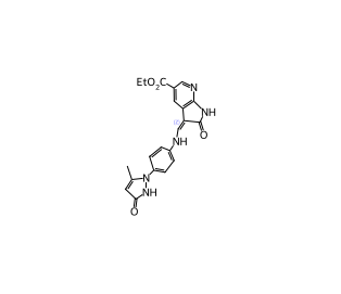 CCOC(=O)c1cnc2c(c1)/C(=C/Nc1ccc(-n3[nH]c(=O)cc3C)cc1)C(=O)N2